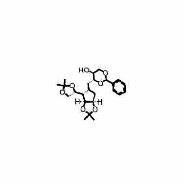 CC1(C)OC[C@@H]([C@@H]2C(C[C@H]3OC(c4ccccc4)OC[C@@H]3O)C[C@H]3OC(C)(C)O[C@@H]23)O1